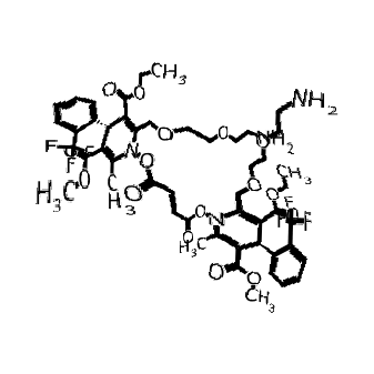 CCOC(=O)C1=C(COCCOCCN)N(OC(=O)/C=C/C(=O)ON2C(C)=C(C(=O)OC)[C@H](c3ccccc3C(F)(F)F)C(C(=O)OCC)=C2COCCOCCN)C(C)=C(C(=O)OC)[C@@H]1c1ccccc1C(F)(F)F